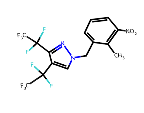 Cc1c(Cn2cc(C(F)(F)C(F)(F)F)c(C(F)(F)C(F)(F)F)n2)cccc1[N+](=O)[O-]